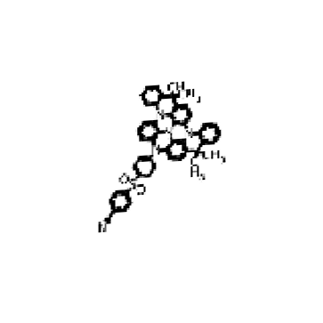 CC1(C)c2ccccc2N2c3ccc4c5c3N3c6c(cccc6N5c5ccccc5C4(C)C)N(C4=CC=C(S(=O)(=O)c5ccc(C#N)cc5)CC4)c4ccc1c2c43